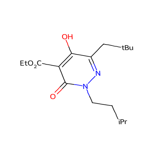 CCOC(=O)c1c(O)c(CC(C)(C)C)nn(CCC(C)C)c1=O